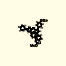 COC(=O)COc1ccc(C2=CC(c3ccccc3)=N/C2=N/c2[nH]c(-c3ccccc3)cc2-c2ccc(OC)cc2)cc1